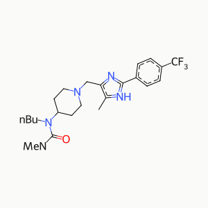 CCCCN(C(=O)NC)C1CCN(Cc2nc(-c3ccc(C(F)(F)F)cc3)[nH]c2C)CC1